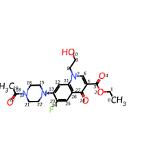 CCOC(=O)c1cn(CCO)c2cc(N3CCN(C(C)=O)CC3)c(F)cc2c1=O